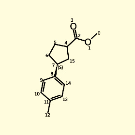 COC(=O)C1CC[C@H](c2ccc(C)cc2)C1